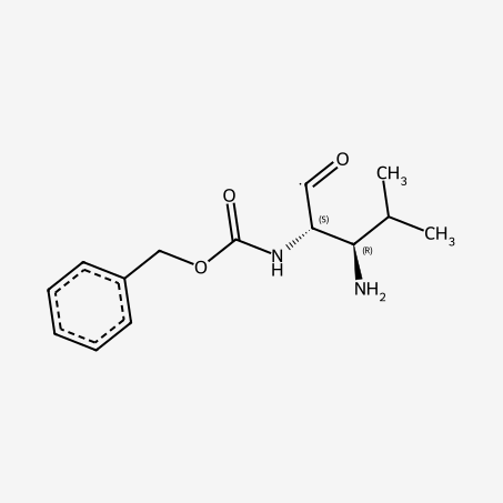 CC(C)[C@@H](N)[C@@H]([C]=O)NC(=O)OCc1ccccc1